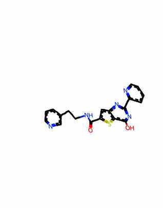 O=C(NCCc1cccnc1)c1cc2nc(-c3ccccn3)nc(O)c2s1